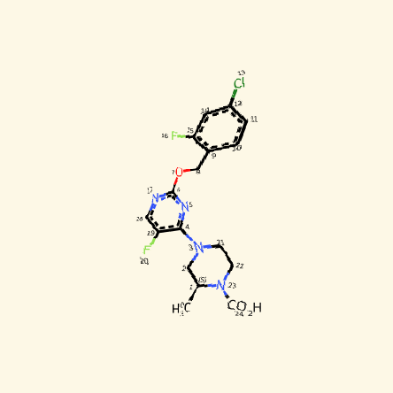 C[C@H]1CN(c2nc(OCc3ccc(Cl)cc3F)ncc2F)CCN1C(=O)O